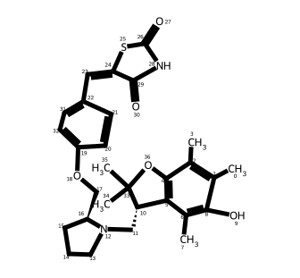 Cc1c(C)c2c(c(C)c1O)[C@H](CN1CCC[C@H]1COc1ccc(C=C3SC(=O)NC3=O)cc1)C(C)(C)O2